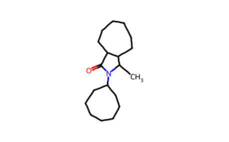 CC1C2CCCCCCC2C(=O)N1C1CCCCCCC1